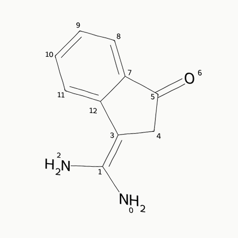 NC(N)=C1CC(=O)c2ccccc21